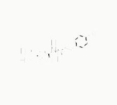 CC(C)(C)OC(=O)NNCCc1ccc(Br)cc1